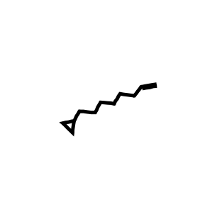 C=CCCCCCCC1[CH]C1